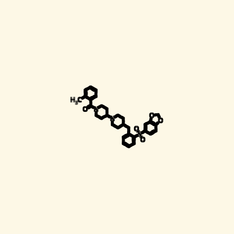 Cc1ccccc1C(=O)N1CCC(N2CCC(Cc3ccccc3S(=O)(=O)c3ccc4c(c3)OCO4)CC2)CC1